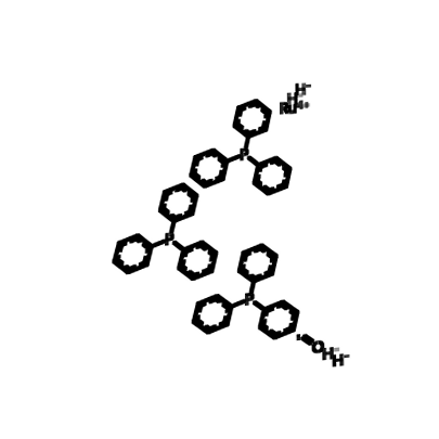 [C]=O.[H-].[H-].[H-].[H-].[Ru+4].c1ccc(P(c2ccccc2)c2ccccc2)cc1.c1ccc(P(c2ccccc2)c2ccccc2)cc1.c1ccc(P(c2ccccc2)c2ccccc2)cc1